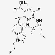 CCC[C@@H](Nc1nc(Nc2ccc3c(cnn3CCF)c2)c(C(N)=O)cc1F)[C@H](C)N